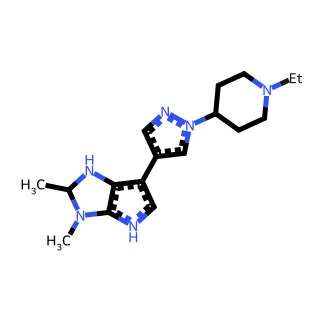 CCN1CCC(n2cc(-c3c[nH]c4c3NC(C)N4C)cn2)CC1